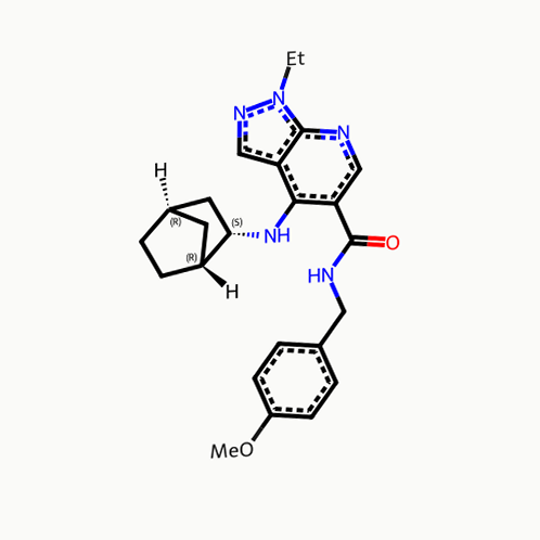 CCn1ncc2c(N[C@H]3C[C@@H]4CC[C@@H]3C4)c(C(=O)NCc3ccc(OC)cc3)cnc21